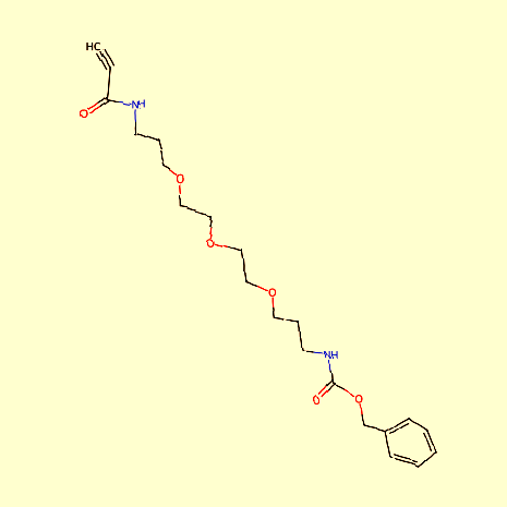 C#CC(=O)NCCCOCCOCCOCCCNC(=O)OCc1ccccc1